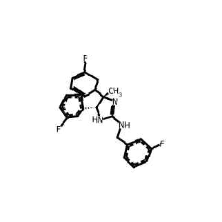 C[C@@]1(C2C=CC=C(F)C2)N=C(NCc2cccc(F)c2)N[C@@H]1c1cccc(F)c1